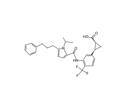 CC(C)n1c(CCCc2ccccc2)ccc1C(=O)Nc1cc([C@@H]2C[C@@H]2C(=O)O)ccc1C(F)(F)F